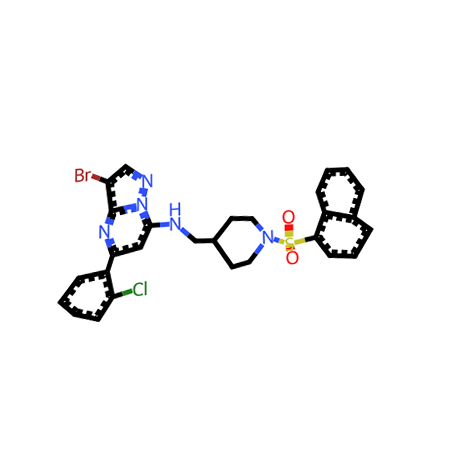 O=S(=O)(c1cccc2ccccc12)N1CCC(CNc2cc(-c3ccccc3Cl)nc3c(Br)cnn23)CC1